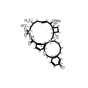 COC1/C=C/C[C@H](C)[C@@H](C)S(=O)(=O)NC(=O)c2ccc3c(c2)N(CCCCc2cc(Cl)ccc2CO3)C[C@@H]2CC[C@@H]12